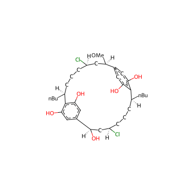 CCCC[C@H]1CCC[C@@H](Cl)C[C@@H](O)c2cc(O)c(c(O)c2)[C@@H](CCCC)CCC[C@@H](Cl)C[C@@H](OC)c2cc(O)c1c(O)c2